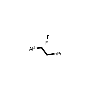 CCCC[CH2][Al+2].[F-].[F-]